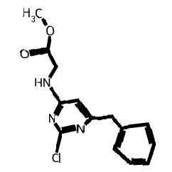 COC(=O)CNc1cc(Cc2ccccc2)nc(Cl)n1